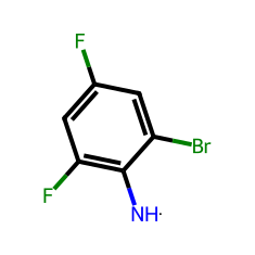 [NH]c1c(F)cc(F)cc1Br